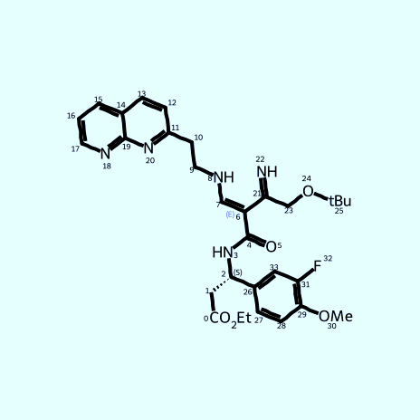 CCOC(=O)C[C@H](NC(=O)/C(=C/NCCc1ccc2cccnc2n1)C(=N)COC(C)(C)C)c1ccc(OC)c(F)c1